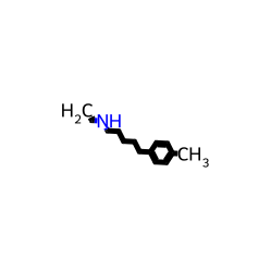 C=CNCCCCCc1ccc(C)cc1